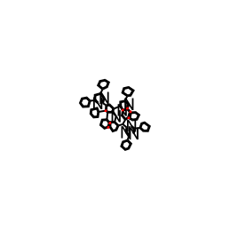 c1ccc(-c2cc(-c3cc(-c4nc(-c5ccccc5)cc(-c5ccccc5)n4)c(-c4ccccc4)c(-c4ccccc4)c3N3c4ccccc4C(c4nc(-c5ccccc5)nc(-c5ccccc5)n4)c4ccccc43)nc(-c3ccccc3)n2)cc1